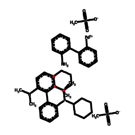 CN(C)c1cccc(N(C)C)c1-c1ccccc1P(C1CCCCC1)C1CCCCC1.CS(=O)(=O)[O-].CS(=O)(=O)[O-].Nc1ccccc1-c1cccc[c]1[Pd+2]